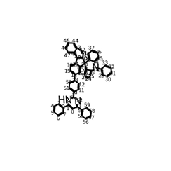 C1=C(c2ccccc2)NC(c2ccc(-c3ccc4c(c3)C3(c5ccccc5N(c5ccccc5)c5ccccc53)c3ccc5ccccc5c3-4)cc2)N=C1c1ccccc1